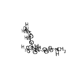 CNCCCC1OCC2(CO1)COC(CCCNC(=O)C(CCC(C)=O)NC(=O)CCOCCNC(=O)CC1SCC3NC(=O)NC31)OC2